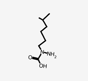 CC(C)CCCCN(N)C(=O)O